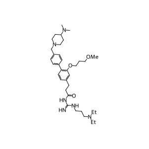 CCN(CC)CCCNC(=N)NC(=O)CCc1ccc(-c2ccc(CN3CCC(N(C)C)CC3)cc2)c(OCCCOC)c1